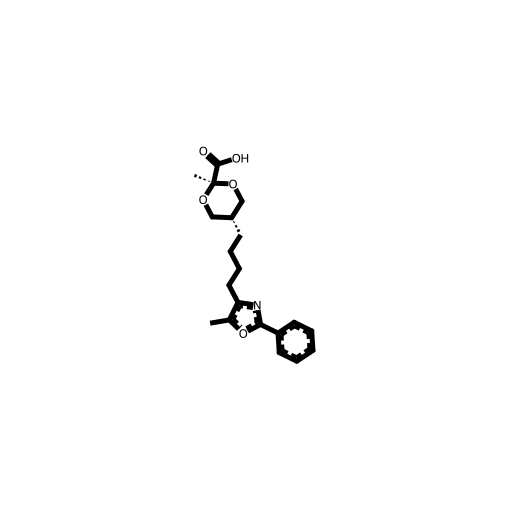 Cc1oc(-c2ccccc2)nc1CCCC[C@H]1CO[C@](C)(C(=O)O)OC1